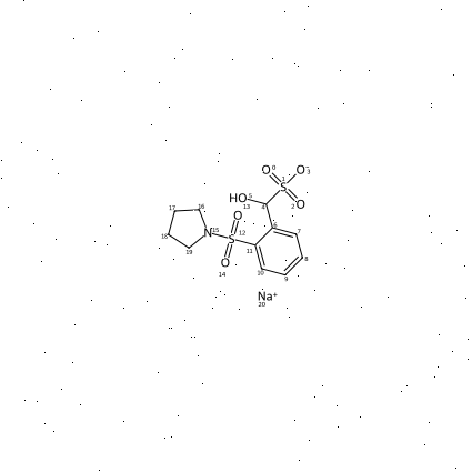 O=S(=O)([O-])C(O)c1ccccc1S(=O)(=O)N1CCCC1.[Na+]